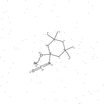 CC1(C)CC(C)(C)CC(N=C=O)(OC#N)C1